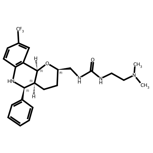 CN(C)CCNC(=O)NC[C@H]1CC[C@H]2[C@@H](c3ccccc3)Nc3ccc(C(F)(F)F)cc3[C@H]2O1